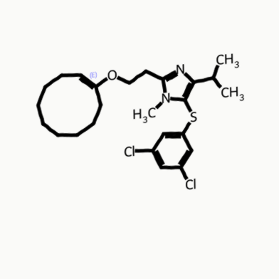 CC(C)c1nc(CCO/C2=C/CCCCCCCC2)n(C)c1Sc1cc(Cl)cc(Cl)c1